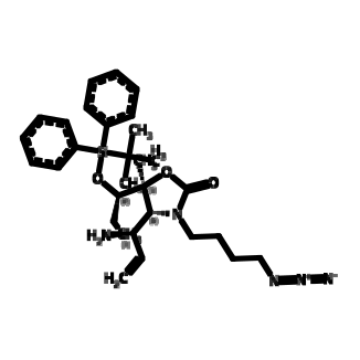 C=C[C@@H](N)[C@H]1N(CCCCN=[N+]=[N-])C(=O)O[C@]1(C)[C@@H](CC)O[Si](c1ccccc1)(c1ccccc1)C(C)(C)C